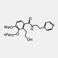 CCCCCOc1c(OC)ccc(C(=O)NCCc2ccncc2)c1CCO